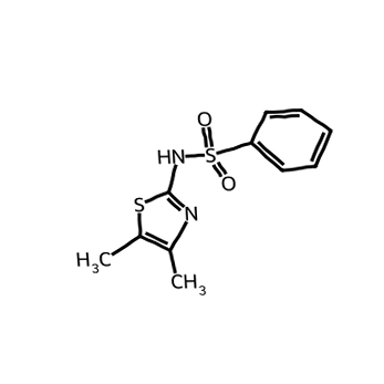 Cc1nc(NS(=O)(=O)c2ccccc2)sc1C